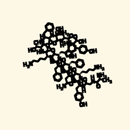 CC(O)[C@H](NC(=O)[C@H](Cc1ccccc1)NC(=O)[C@@H](NC(=O)[C@H](CCCCN)NC(=O)[C@H](Cc1c[nH]c2ccccc12)NC(=O)[C@H](Cc1ccccc1)NC(=O)[C@H](Cc1ccccc1)NC(=O)[C@H](CC(N)=O)NC(=O)[C@H](CCCCN)NC(=O)[C@H](Cc1ccc(O)cc1)NC(=O)CNC(=O)[C@H](C)N)C(C)O)C(=O)N[C@@H](CO)C(=O)N[C@@H](Cc1ccc(O)cc1)C(=O)O